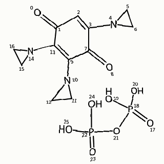 O=C1C=C(N2CC2)C(=O)C(N2CC2)=C1N1CC1.O=P(O)(O)OP(=O)(O)O